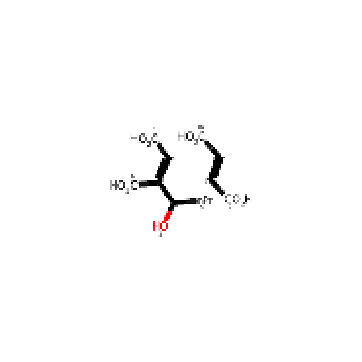 CCCC(O)C(=CC(=O)O)C(=O)O.O=C(O)C=CC(=O)O